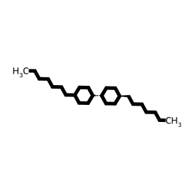 CCCCCCCC1CCC([C@H]2CC[C@H](CCCCCCC)CC2)CC1